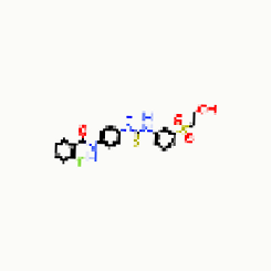 O=C(Nc1ccc(NC(=S)Nc2cccc(S(=O)(=O)CCO)c2)cc1)c1ccccc1F